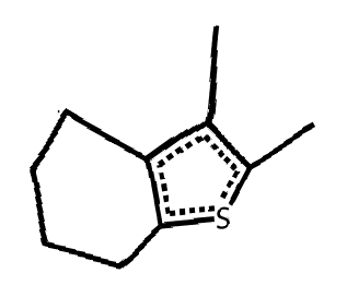 Cc1sc2c(c1C)[CH]CCC2